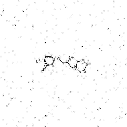 OC(COc1ccc(Br)c(F)c1)CN1CCSCC1